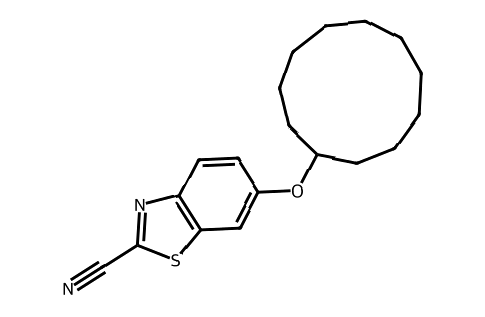 N#Cc1nc2ccc(OC3CCCCCCCCCC3)cc2s1